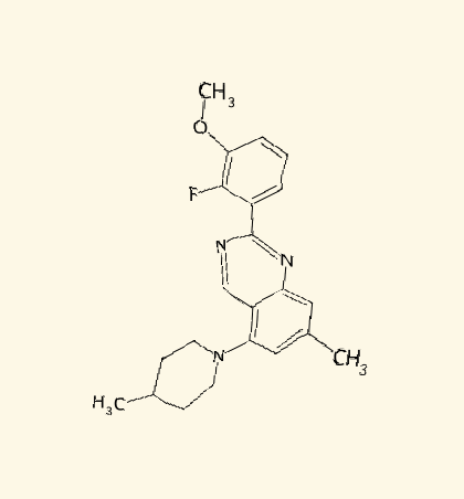 COc1cccc(-c2ncc3c(N4CCC(C)CC4)cc(C)cc3n2)c1F